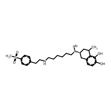 CCCN(CCCCCCNCCc1ccc(S(C)(=O)=O)cc1)[C@@H]1Cc2ccc(O)c(O)c2C(C)C1